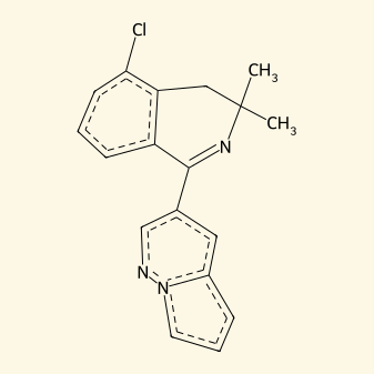 CC1(C)Cc2c(Cl)cccc2C(c2cnn3cccc3c2)=N1